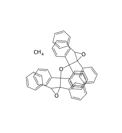 C.c1ccc(C2OC2(c2ccccc2)C(OC(c2ccccc2)(c2ccccc2)C2(c3ccccc3)OC2c2ccccc2)(c2ccccc2)c2ccccc2)cc1